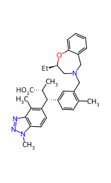 CC[C@@H]1CN(Cc2cc([C@H](c3ccc4c(nnn4C)c3C)[C@@H](C)C(=O)O)ccc2C)Cc2ccccc2O1